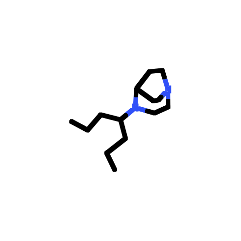 CCCC(CCC)N1CCN2CCC1CC2